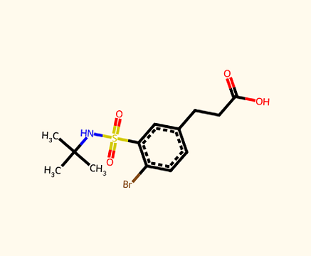 CC(C)(C)NS(=O)(=O)c1cc(CCC(=O)O)ccc1Br